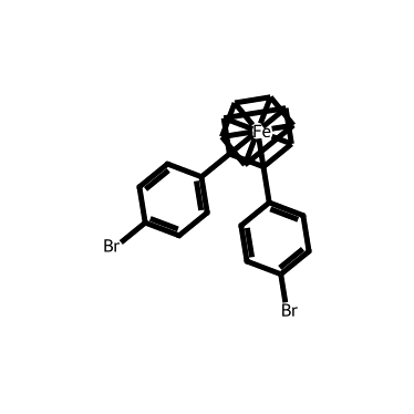 Brc1ccc([C]23[CH]4[CH]5[CH]6[C]2(c2ccc(Br)cc2)[Fe]54632789[CH]3[CH]2[CH]7[CH]8[CH]39)cc1